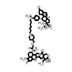 CC[C@@]1(O)C(=O)OCc2c1cc1n(c2=O)Cc2c-1nc1cc(F)c(C)c3c1c2[C@@H](N(C)C(=O)COCC1CCN(CCCCCCCN(C)c2ccc([C@H]4C[C@@]5(C)[C@@H](CC[C@]5(OC(C)=O)C(C)=O)[C@@H]5CCC6=CC(=O)CCC6=C54)cc2)CC1)CC3